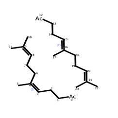 CC(=O)CC/C=C(/C)CCC=C(C)C.CC(=O)CC/C=C(\C)CCC=C(C)C